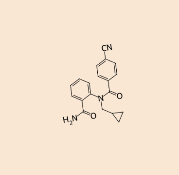 N#Cc1ccc(C(=O)N(CC2CC2)c2ccccc2C(N)=O)cc1